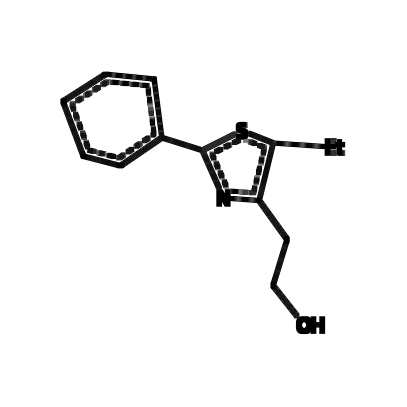 CCc1sc(-c2ccccc2)nc1CCO